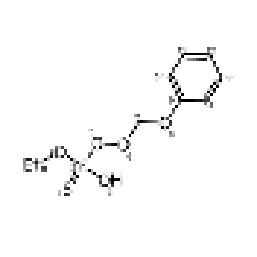 CCOP(O)(=S)OOCOc1ccccc1